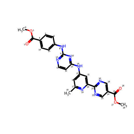 COC(=O)c1ccc(Nc2nccc(Nc3cc(C)nc(-c4ncc(C(=O)OC)cn4)c3)n2)cc1